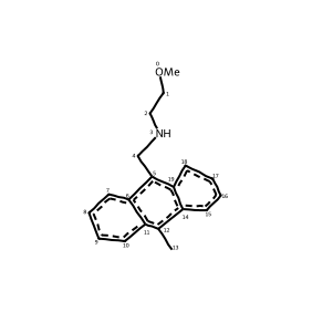 COCCNCc1c2ccccc2c(C)c2ccccc12